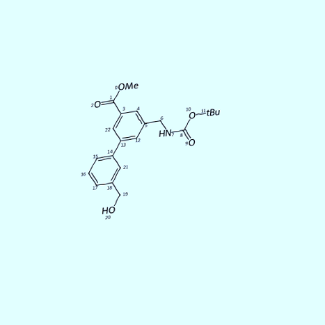 COC(=O)c1cc(CNC(=O)OC(C)(C)C)cc(-c2cccc(CO)c2)c1